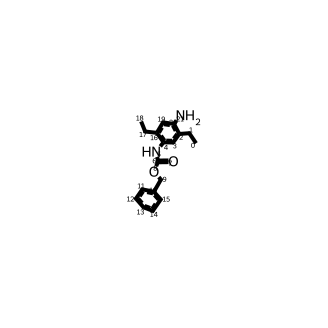 CCc1cc(NC(=O)OCc2ccccc2)c(CC)cc1N